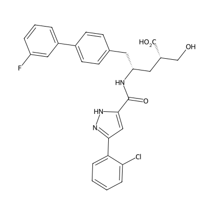 O=C(N[C@H](Cc1ccc(-c2cccc(F)c2)cc1)C[C@@H](CO)C(=O)O)c1cc(-c2ccccc2Cl)n[nH]1